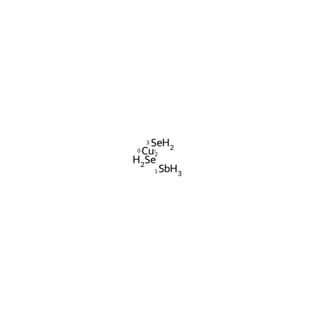 [Cu].[SbH3].[SeH2].[SeH2]